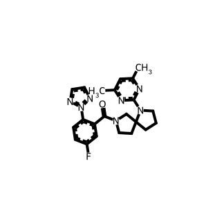 Cc1cc(C)nc(N2CCCC23CCN(C(=O)c2cc(F)ccc2-n2nccn2)C3)n1